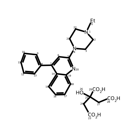 CCN1CCN(c2cc(-c3ccccc3)c3ccccc3n2)CC1.O=C(O)CC(O)(CC(=O)O)C(=O)O